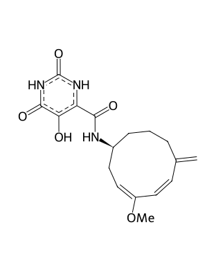 C=C1/C=C\C(OC)=C/C[C@@H](NC(=O)c2[nH]c(=O)[nH]c(=O)c2O)CCC1